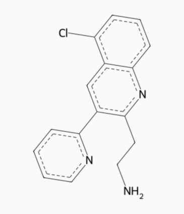 NCCc1nc2cccc(Cl)c2cc1-c1ccccn1